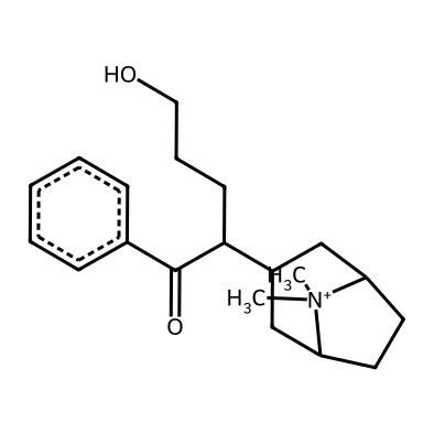 C[N+]1(C)C2CCC1CC(C(CCCO)C(=O)c1ccccc1)C2